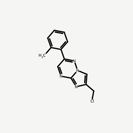 Cc1ccccc1-c1cnc2nc(CCl)cn2n1